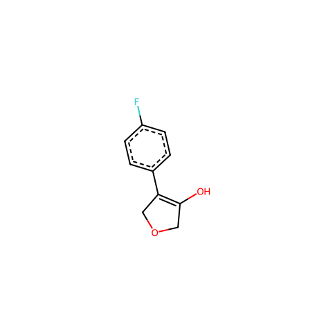 OC1=C(c2ccc(F)cc2)COC1